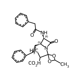 CC1OC(C(C)C(=O)O)(N2C(=O)[C@H](NC(=O)Cc3ccccc3)[C@@H]2C=Cc2ccccc2)O1